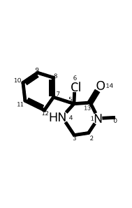 CN1CCNC(Cl)(c2ccccc2)C1=O